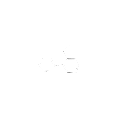 O=[C]c1ccccc1-c1ccccc1